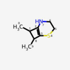 CC1C2=C(SCCN2)C1C